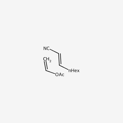 C=COC(C)=O.CCCCCCC=CC#N